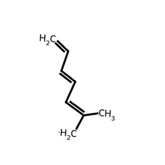 [CH2]/C(C)=C/C=C/C=C